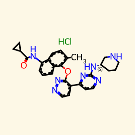 Cc1ccc2c(NC(=O)C3CC3)cccc2c1Oc1nnccc1-c1ccnc(N[C@H]2CCCNC2)n1.Cl